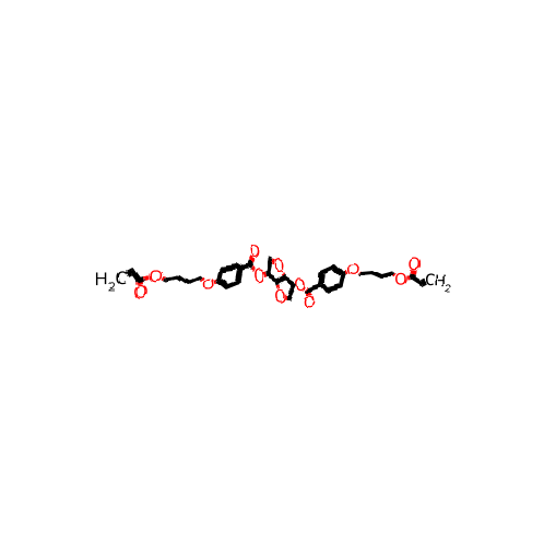 C=CC(=O)OCCCCOc1ccc(C(=O)OC2COC3C2OC[C@H]3OC(=O)c2ccc(OCCCCOC(=O)C=C)cc2)cc1